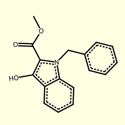 COC(=O)c1c(O)c2ccccc2n1Cc1ccccc1